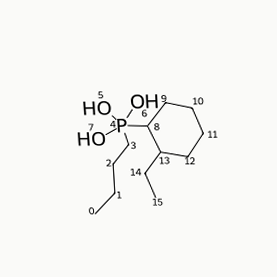 CCCCP(O)(O)(O)C1CCCCC1CC